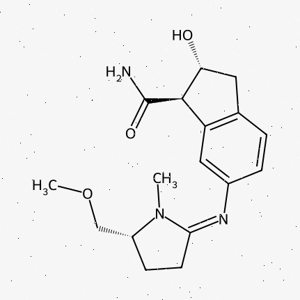 COC[C@H]1CCC(=Nc2ccc3c(c2)[C@@H](C(N)=O)[C@H](O)C3)N1C